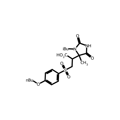 CCCCOc1ccc(S(=O)(=O)CC(C(=O)O)C2(C)C(=O)NC(=O)N2C(C)CC)cc1